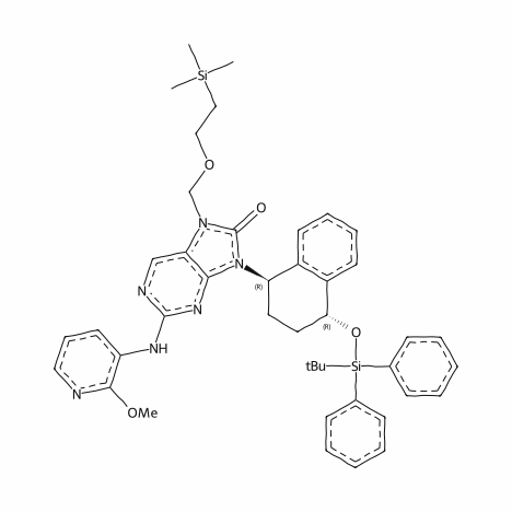 COc1ncccc1Nc1ncc2c(n1)n([C@@H]1CC[C@@H](O[Si](c3ccccc3)(c3ccccc3)C(C)(C)C)c3ccccc31)c(=O)n2COCC[Si](C)(C)C